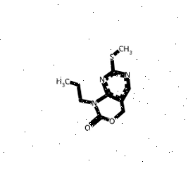 CCCN1C(=O)OCc2cnc(SC)nc21